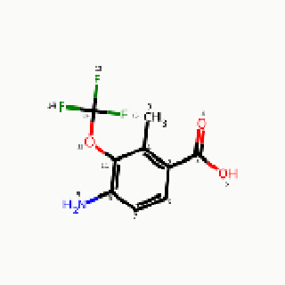 Cc1c(C(=O)O)ccc(N)c1OC(F)(F)F